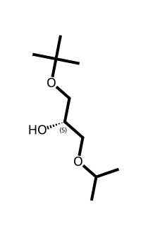 CC(C)OC[C@H](O)COC(C)(C)C